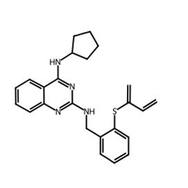 C=CC(=C)Sc1ccccc1CNc1nc(NC2CCCC2)c2ccccc2n1